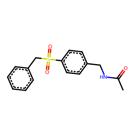 CC(=O)NCc1ccc(S(=O)(=O)Cc2ccccc2)cc1